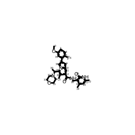 COc1ccc(F)c(-c2cc3cc(C(=O)NCc4c(C)cc(C)[nH]c4=O)c(C)c(C(C)N4CCOCC4)n3c2)c1